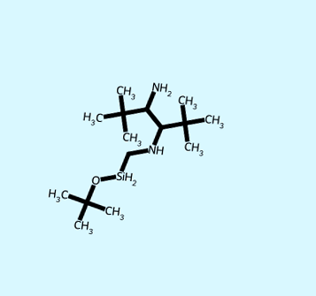 CC(C)(C)O[SiH2]CNC(C(N)C(C)(C)C)C(C)(C)C